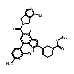 CCc1nc(C)ccc1-c1cc(C(=O)N2Cc3cnn(CC)c3C2)c(F)c2cc(C3=CCCN(C(=O)OC(C)(C)C)C3)[nH]c12